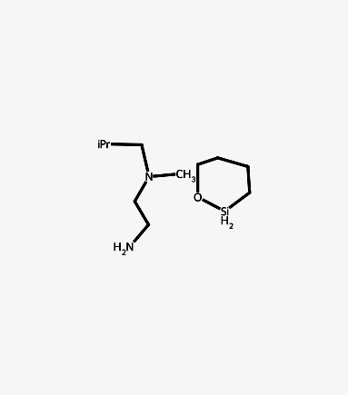 C1CC[SiH2]OC1.CC(C)CN(C)CCN